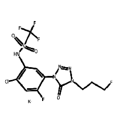 O=c1n(CCCF)nnn1-c1cc(NS(=O)(=O)C(F)(F)F)c(Cl)cc1F.[K]